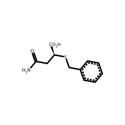 NC(=O)C[C@H](SCc1ccccc1)C(=O)O